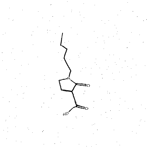 CCCCCN1CCC(C(=O)O)C1=O